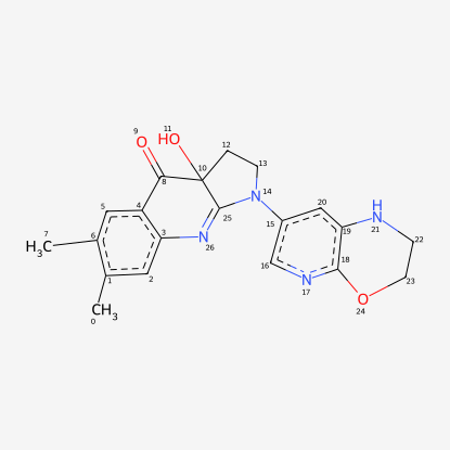 Cc1cc2c(cc1C)C(=O)C1(O)CCN(c3cnc4c(c3)NCCO4)C1=N2